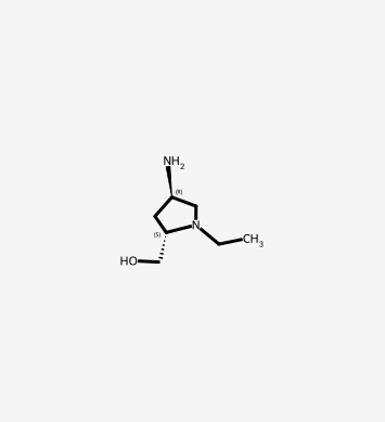 CCN1C[C@H](N)C[C@H]1CO